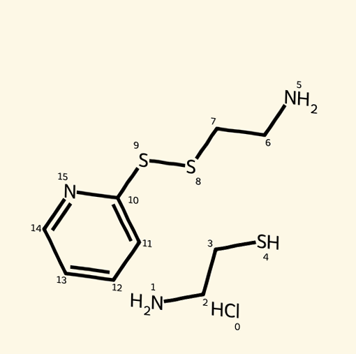 Cl.NCCS.NCCSSc1ccccn1